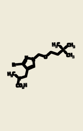 CN(Cc1cn(COCC[Si](C)(C)C)nc1Br)C(=O)O